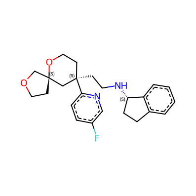 Fc1ccc([C@]2(CCN[C@H]3CCc4ccccc43)CCO[C@]3(CCOC3)C2)nc1